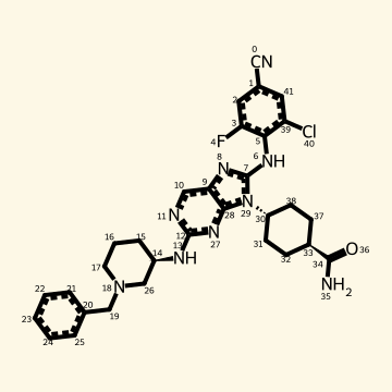 N#Cc1cc(F)c(Nc2nc3cnc(N[C@@H]4CCCN(Cc5ccccc5)C4)nc3n2[C@H]2CC[C@H](C(N)=O)CC2)c(Cl)c1